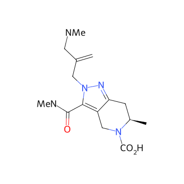 C=C(CNC)Cn1nc2c(c1C(=O)NC)CN(C(=O)O)[C@H](C)C2